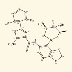 C[C@H]1CN(c2c(NC(=O)c3nc(-c4c(F)cccc4F)sc3N)cnc3c2CCO3)C[C@@H](N)[C@@]1(C)O